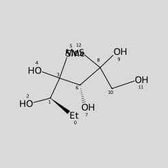 CC[C@@H](O)C(O)(SC)[C@@H](O)C(O)(CO)SC